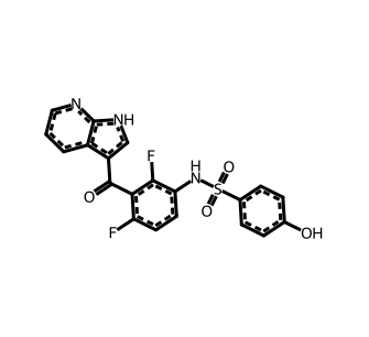 O=C(c1c(F)ccc(NS(=O)(=O)c2ccc(O)cc2)c1F)c1c[nH]c2ncccc12